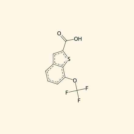 O=C(O)c1cc2cccc(OC(F)(F)F)c2s1